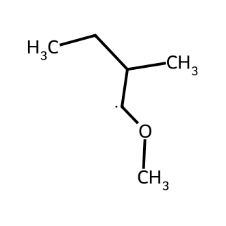 CCC(C)[CH]OC